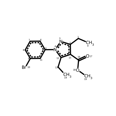 CCc1nn(-c2cccc(Br)c2)c(CC)c1C(=O)OC